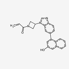 C=CC(=O)N1CC(n2cnc3ccc(-c4cc(O)cc5ccccc45)cc32)C1